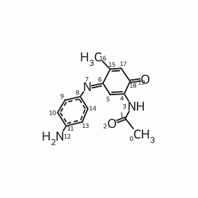 CC(=O)NC1=CC(=Nc2ccc(N)cc2)C(C)=CC1=O